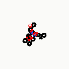 CC1(C)c2ccccc2-c2ccc(N(c3ccc4c(c3)C3(c5ccccc5-c5ccc(N(c6ccccc6)c6ccc7oc8ccccc8c7c6)cc53)c3ccccc3-4)c3ccccc3-c3ccccc3)cc21